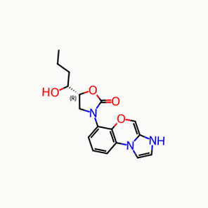 CCCC(O)[C@H]1CN(c2cccc3c2OC=C2NC=CN23)C(=O)O1